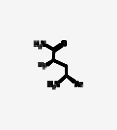 CC(=O)[C@@H](N)C[C@@H]([18F])C(N)=O